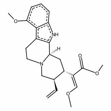 C=C[C@H]1CN2CCc3c([nH]c4cccc(OC)c34)[C@H]2C[C@@H]1/C(=C\OC)C(=O)OC